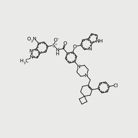 Cn1cc2cc([S+]([O-])NC(=O)c3ccc(N4CCN(CC5=C(c6ccc(Cl)cc6)CC6(CCC6)CC5)CC4)cc3Oc3cnc4[nH]ccc4c3)cc([N+](=O)[O-])c2n1